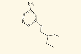 CCC(CC)COc1cccc(N)c1